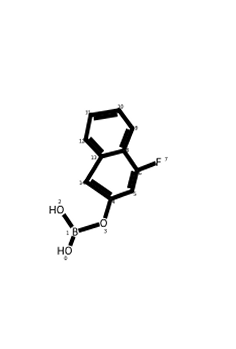 OB(O)Oc1cc(F)c2ccccc2c1